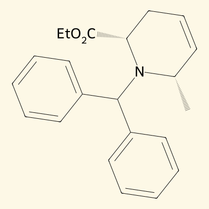 CCOC(=O)[C@@H]1CC=C[C@H](C)N1C(c1ccccc1)c1ccccc1